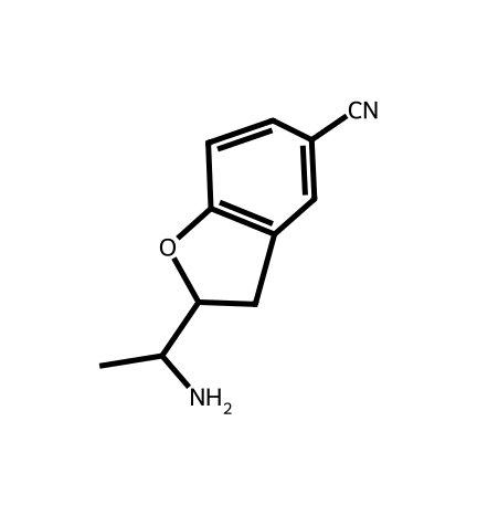 CC(N)C1Cc2cc(C#N)ccc2O1